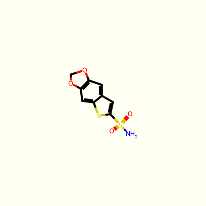 NS(=O)(=O)c1cc2cc3c(cc2s1)OCO3